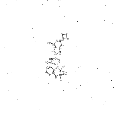 O=C(NS(=O)(=O)c1cccc2c1OC(F)(F)C(F)(F)O2)c1cc2c(F)cc(N3CCC3)cc2o1